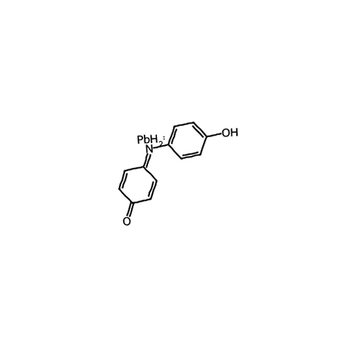 O=C1C=CC(=Nc2ccc(O)cc2)C=C1.[PbH2]